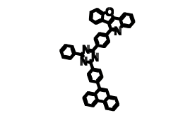 c1ccc(-c2nc(-c3ccc(-c4cc5ccccc5c5ccccc45)cc3)nc(-c3ccc(-c4nc5ccccc5c5oc6ccccc6c45)cc3)n2)cc1